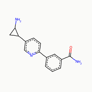 NC(=O)c1cccc(-c2ccc(C3CC3N)cn2)c1